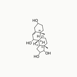 C[C@]12CCC(O)CC1=CC(O)[C@@H]1[C@@H]2CC[C@]2(C)C(O)C(O)C[C@@H]12